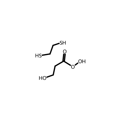 O=C(CCO)OO.SCCS